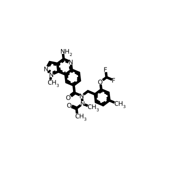 CC(=O)N(C)N(Cc1ccc(C)cc1OC(F)F)C(=O)c1ccc2nc(N)c3cnn(C)c3c2c1